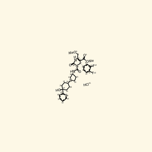 COCC1=C(C(=O)OC)[C@H](c2ccc(F)c(F)c2)N(C(=O)N[C@@H]2CCN(C3CCC(O)(c4ccccn4)CC3)C2)C(=O)N1.Cl